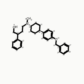 CN(CCC(CO)c1ccccc1)[C@H]1CC[C@H](c2ccc(OCc3ccccc3)cc2)CC1